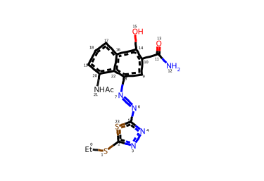 CCSc1nnc(/N=N/c2cc(C(N)=O)c(O)c3cccc(NC(C)=O)c23)s1